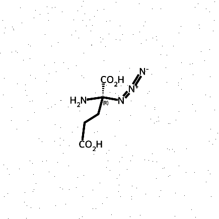 [N-]=[N+]=N[C@](N)(CCC(=O)O)C(=O)O